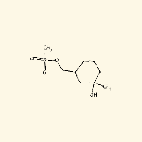 CS(=O)(=O)OCC1CCCC(O)(C(F)(F)F)C1